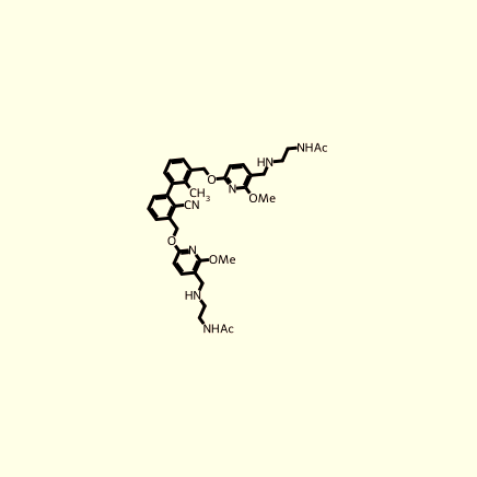 COc1nc(OCc2cccc(-c3cccc(COc4ccc(CNCCNC(C)=O)c(OC)n4)c3C#N)c2C)ccc1CNCCNC(C)=O